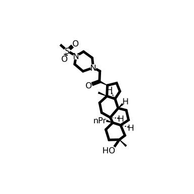 CCC[C@]12CC[C@@](C)(O)C[C@@H]1CC[C@H]1[C@@H]3CC[C@H](C(=O)CN4CCN(S(C)(=O)=O)CC4)[C@@]3(C)CC[C@@H]12